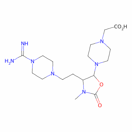 CN1C(=O)OC(N2CCN(CC(=O)O)CC2)C1CCN1CCN(C(=N)N)CC1